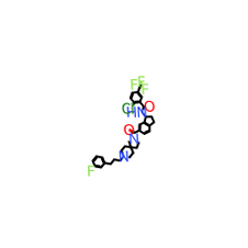 O=C(NC1CCc2ccc(C(=O)N3CCC4(CCN(CCCc5cccc(F)c5)CC4)C3)cc21)c1cc(C(F)(F)F)ccc1Cl